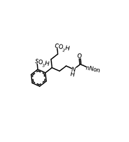 CCCCCCCCCC(=O)NCCC(CCC(=O)O)c1ccccc1S(=O)(=O)O